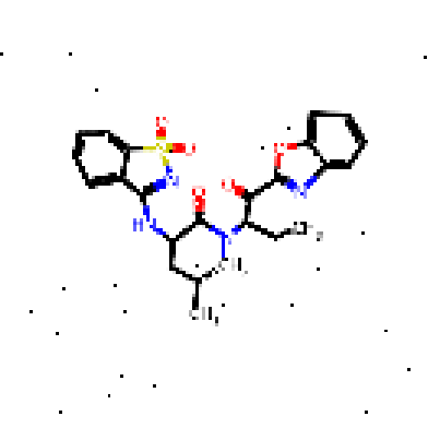 CCC(NC(=O)C(CC(C)C)NC1=NS(=O)(=O)c2ccccc21)C(=O)c1nc2ccccc2o1